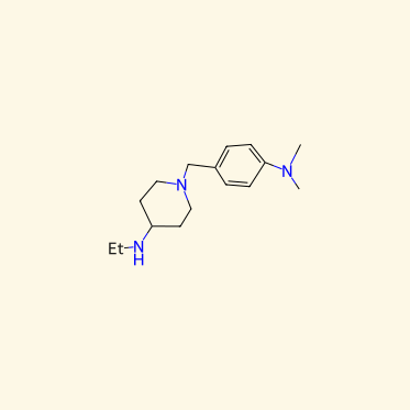 CCNC1CCN(Cc2ccc(N(C)C)cc2)CC1